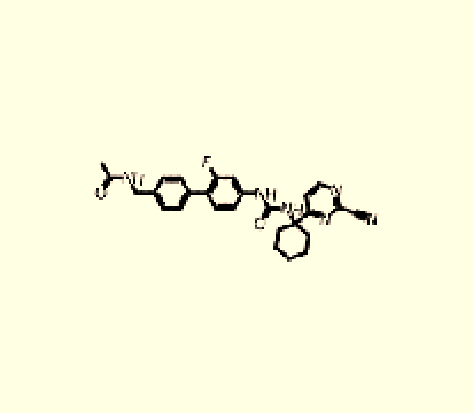 CC(=O)NCc1ccc(-c2ccc(NC(=O)NC3(c4ccnc(C#N)n4)CCCCC3)cc2F)cc1